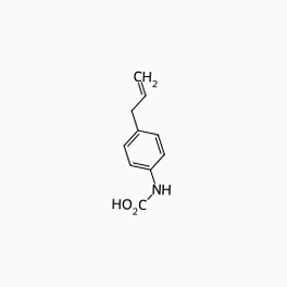 C=CCc1ccc(NC(=O)O)cc1